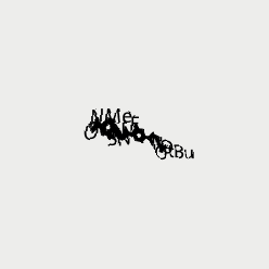 CNC(=O)c1ccc2c(c1)sc1nc(-c3ccc(C4CCN(C(=O)OC(C)(C)C)C4)cc3F)cn12